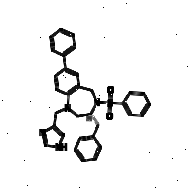 O=S(=O)(c1ccccc1)N1Cc2cc(-c3ccccc3)ccc2N(Cc2c[nH]cn2)C[C@H]1Cc1ccccc1